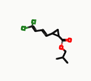 CC(C)COC(=O)C1CC1C=CC=C(Cl)Cl